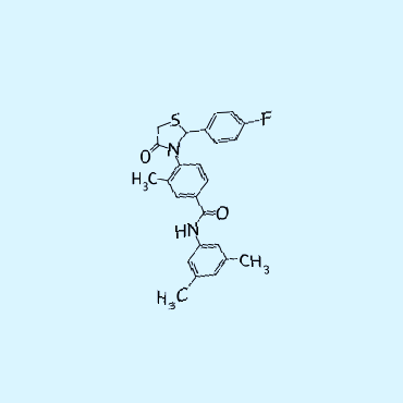 Cc1cc(C)cc(NC(=O)c2ccc(N3C(=O)CSC3c3ccc(F)cc3)c(C)c2)c1